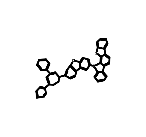 C1=C(c2ccccc2)C=C(c2ccccc2)CCC1c1ccc2c(c1)oc1ccc(-n3c4ccccc4c4ccc5c6ccccc6sc5c43)cc12